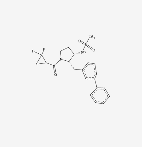 CS(=O)(=O)N[C@H]1CCN(C(=O)C2CC2(F)F)[C@H]1Cc1cccc(-c2ccccc2)c1